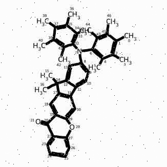 Cc1c(C)c(C)c(N(c2ccc3c(c2)C(C)(C)c2cc4c(=O)c5ccccc5oc4cc2-3)c2c(C)c(C)c(C)c(C)c2C)c(C)c1C